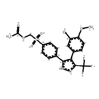 COc1ccc(-c2c(C(F)(F)F)n[nH]c2-c2ccc(S(=O)(=O)COC(C)=O)cc2)cc1Cl